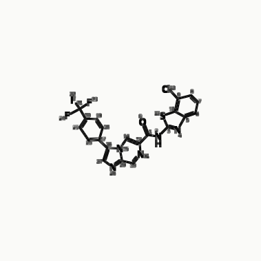 O=C(Nc1nc2cccc(Cl)c2s1)c1cn2c(-c3ccc(C(F)(F)F)cc3)cnc2cn1